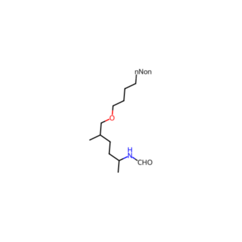 CCCCCCCCCCCCCOCC(C)CCC(C)NC=O